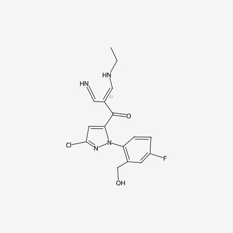 CCN/C=C(\C=N)C(=O)c1cc(Cl)nn1-c1ccc(F)cc1CO